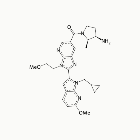 COCCn1c(-c2cc3ccc(OC)nc3n2CC2CC2)nc2cc(C(=O)N3CC[C@@H](N)[C@H]3C)cnc21